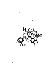 COc1c([C@H]2[C@H](C(=O)Nc3ccnc(C(C)=O)c3)OC(C)(C)[C@H]2C)ccc(F)c1C(F)F